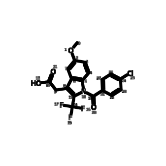 COc1ccc2c(c1)c(CC(=O)O)c(C(F)(F)F)n2C(=O)c1ccc(Cl)cc1